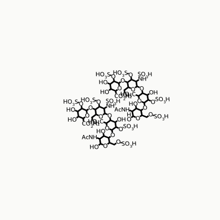 CC(=O)NC1C(O)OC(COS(=O)(=O)O)C(OC2OC(C(=O)O)C(OC3OC(CO)C(OC4OC(C(=O)O)C(O)C(O)C4OS(=O)(=O)O)C(OS(=O)(=O)O)C3NS(=O)(=O)O)C(O)C2OS(=O)(=O)O)C1O.CC(=O)NC1C(O)OC(COS(=O)(=O)O)C(OC2OC(C(=O)O)C(OC3OC(CO)C(OC4OC(C(=O)O)C(O)C(O)C4OS(=O)(=O)O)C(OS(=O)(=O)O)C3NS(=O)(=O)O)C(O)C2OS(=O)(=O)O)C1O